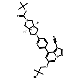 CC(C)(O)COc1cc(-c2ccc(N3C[C@H]4CN(C(=O)OC(C)(C)C)C[C@H]4C3)nc2)c2c(C#N)cnn2c1